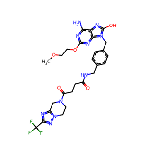 COCCOc1nc(N)c2nc(O)n(Cc3ccc(CNC(=O)CCC(=O)N4CCn5nc(C(F)(F)F)nc5C4)cc3)c2n1